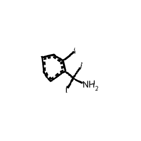 NC(I)(I)c1ccccc1I